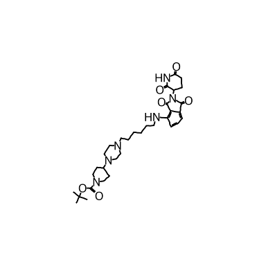 CC(C)(C)OC(=O)N1CCC(N2CCN(CCCCCCNc3cccc4c3C(=O)N(C3CCC(=O)NC3=O)C4=O)CC2)CC1